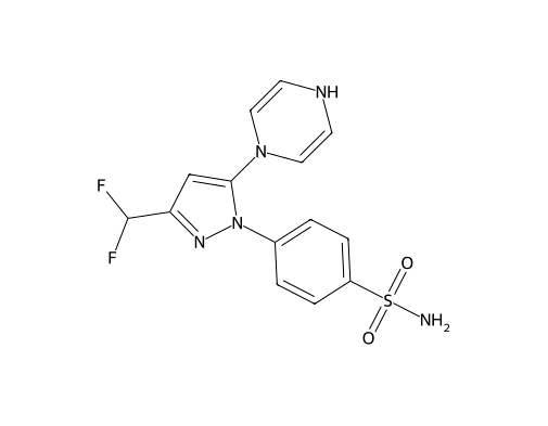 NS(=O)(=O)c1ccc(-n2nc(C(F)F)cc2N2C=CNC=C2)cc1